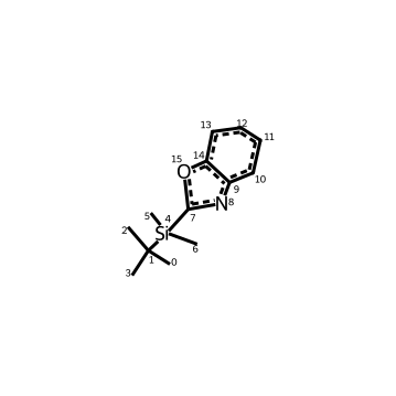 CC(C)(C)[Si](C)(C)c1nc2ccccc2o1